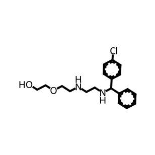 OCCOCCNCCNC(c1ccccc1)c1ccc(Cl)cc1